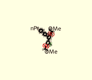 C=C(COC)C(=O)Oc1ccc(-c2ccc(OC(=O)C(=C)COC)c(-c3ccc(-c4ccc(CCC)cc4)cc3)c2)cc1F